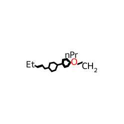 C=CCOc1ccc(C2CCC(CC=CCC)CC2)cc1CCC